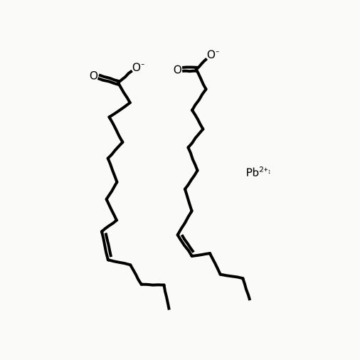 CCCC/C=C\CCCCCCCC(=O)[O-].CCCC/C=C\CCCCCCCC(=O)[O-].[Pb+2]